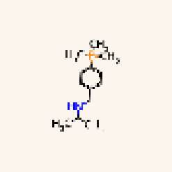 C=P(C)(C)c1ccc(CNC(C)C)cc1